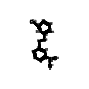 O=[N+]([O-])c1cccc(CSc2nccc(Cl)n2)c1